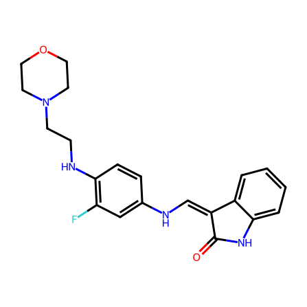 O=C1Nc2ccccc2C1=CNc1ccc(NCCN2CCOCC2)c(F)c1